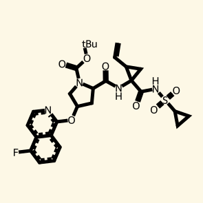 C=CC1CC1(NC(=O)C1CC(Oc2nccc3c(F)cccc23)CN1C(=O)OC(C)(C)C)C(=O)NS(=O)(=O)C1CC1